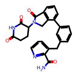 NC(=O)c1ncccc1Cc1cccc(-c2cccc3c2CN(C2CCC(=O)NC2=O)C3=O)c1